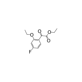 CCOC(=O)C(=O)c1ccc(F)cc1OCC